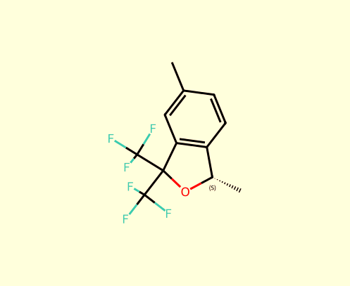 Cc1ccc2c(c1)C(C(F)(F)F)(C(F)(F)F)O[C@H]2C